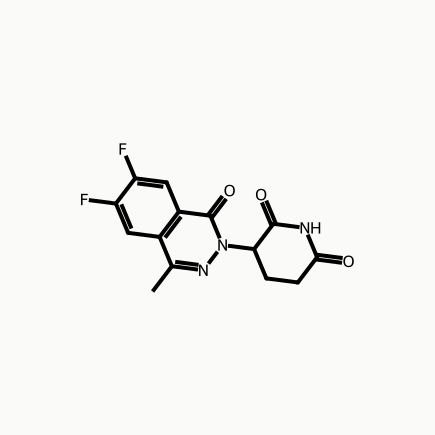 Cc1nn(C2CCC(=O)NC2=O)c(=O)c2cc(F)c(F)cc12